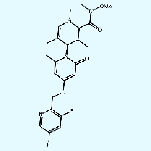 CON(C)C(=O)C1C(C)[C@@H](n2c(C)cc(OCc3ncc(F)cc3F)cc2=O)C(C)=CN1C